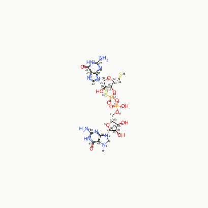 CN1CN([C@@H]2O[C@H](COP(=O)(O)OP(=O)(S)O[C@H]3[C@@H](O)[C@H](n4cnc5c(=O)[nH]c(N)nc54)O[C@@H]3C=S)[C@@H](O)[C@H]2O)c2nc(N)[nH]c(=O)c21